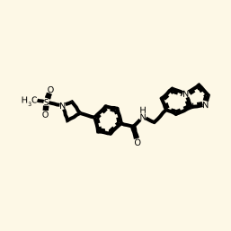 CS(=O)(=O)N1CC(c2ccc(C(=O)NCc3ccn4ccnc4c3)cc2)C1